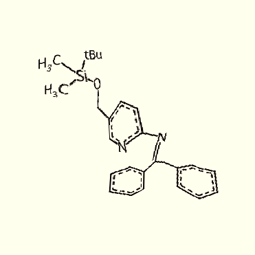 CC(C)(C)[Si](C)(C)OCc1ccc(N=C(c2ccccc2)c2ccccc2)nc1